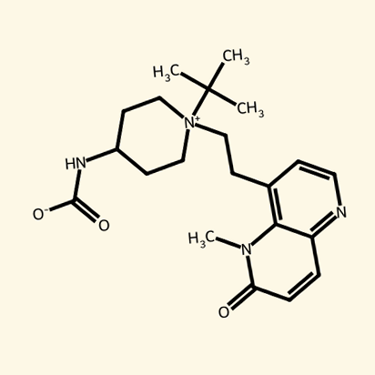 Cn1c(=O)ccc2nccc(CC[N+]3(C(C)(C)C)CCC(NC(=O)[O-])CC3)c21